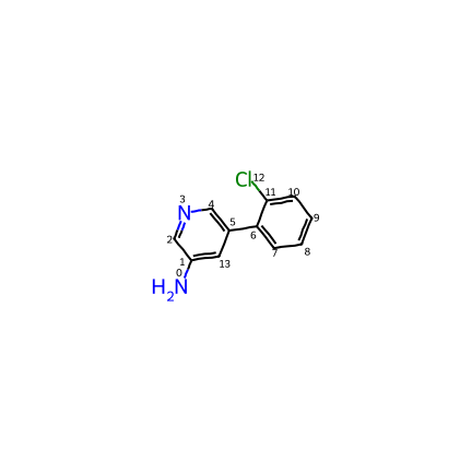 Nc1cncc(-c2ccccc2Cl)c1